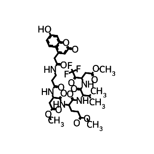 COC(=O)CCC(NC(=O)C(CC(=O)OC)NC(=O)CCNC(=O)Cc1cc(=O)oc2cc(O)ccc12)C(=O)N[C@@H](C(=O)NC(CC(=O)OC)C(=O)C(F)(F)F)C(C)C